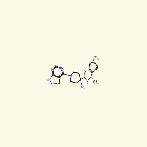 C[C@H](NC(=O)C1(N)CCN(c2ncnc3c2CCN3)CC1)c1ccc(C(F)(F)F)cc1